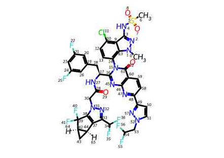 Cn1nc(NS(C)(=O)=O)c2c(Cl)ccc(-n3c([C@H](Cc4cc(F)cc(F)c4)NC(=O)Cn4nc(C(F)F)c5c4C(F)(F)[C@@H]4C[C@H]54)nc4nc(-c5ccn(CC(F)F)n5)ccc4c3=O)c21